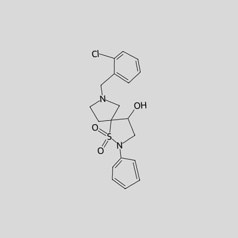 O=S1(=O)N(c2ccccc2)CC(O)C12CCN(Cc1ccccc1Cl)C2